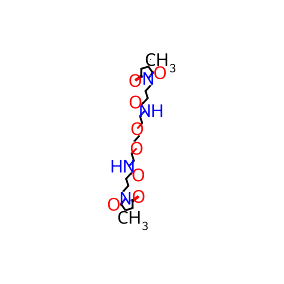 CC1CC(=O)N(CCCC(=O)NCCOCCOCCNC(=O)CCCN2C(=O)C[C@H](C)C2=O)C1=O